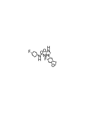 O=C(Nc1ccc(F)cc1)NC1C(=O)NCC1c1cc2ccoc2cc1F